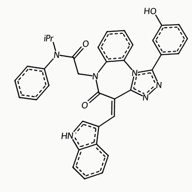 CC(C)N(C(=O)CN1C(=O)C(=Cc2c[nH]c3ccccc23)c2nnc(-c3cccc(O)c3)n2-c2ccccc21)c1ccccc1